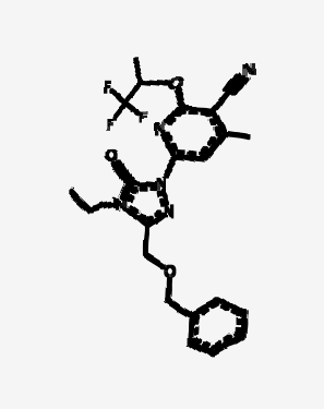 CCn1c(COCc2ccccc2)nn(-c2cc(C)c(C#N)c(OC(C)C(F)(F)F)n2)c1=O